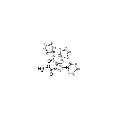 COC(=O)[C@@H]1C[C@H](N2CCCCC2)CN1C(=O)C(c1ccccc1)c1ccccc1